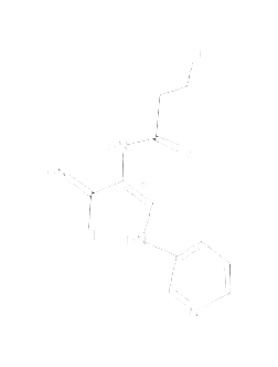 N=C(Cl)/C(=C\Nc1cccnc1)NC(=O)CCCl